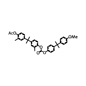 COc1ccc(C(C)(C)c2ccc(OC(=O)Oc3ccc(C(C)(C)c4ccc(OC(C)=O)c(C)c4)cc3C)cc2)cc1